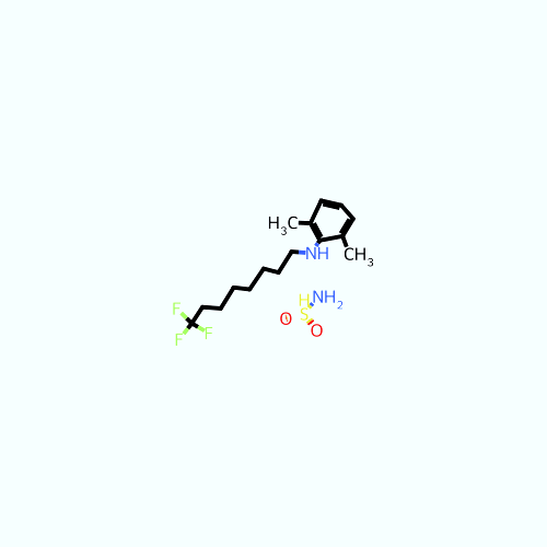 Cc1cccc(C)c1NCCCCCCCC(F)(F)F.N[SH](=O)=O